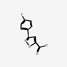 O=C(Cl)c1cc(-c2ccc(F)cc2)no1